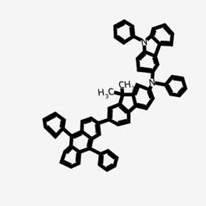 CC1(C)c2cc(-c3ccc4c(-c5ccccc5)c5ccccc5c(-c5ccccc5)c4c3)ccc2-c2ccc(N(c3ccccc3)c3ccc4c(c3)c3ccccc3n4-c3ccccc3)cc21